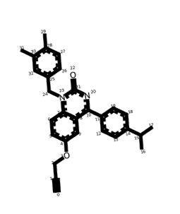 C#CCOc1ccc2c(c1)c(-c1ccc(C(C)C)cc1)nc(=O)n2Cc1ccc(C)c(C)c1